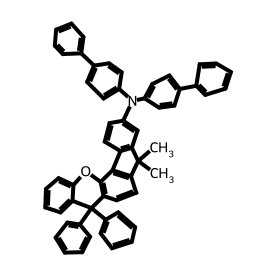 CC1(C)c2cc(N(c3ccc(-c4ccccc4)cc3)c3ccc(-c4ccccc4)cc3)ccc2-c2c1ccc1c2Oc2ccccc2C1(c1ccccc1)c1ccccc1